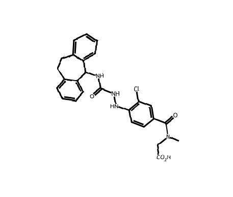 CN(CC(=O)O)C(=O)c1ccc(NNC(=O)NC2c3ccccc3CCc3ccccc32)c(Cl)c1